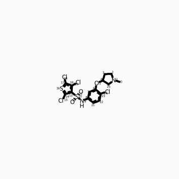 CN1CCC(Oc2cc(NS(=O)(=O)c3c(Cl)sc(Cl)c3Cl)ccc2Cl)C1